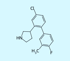 Cc1cc(-c2ccc(Cl)cc2C2CCNC2)ccc1F